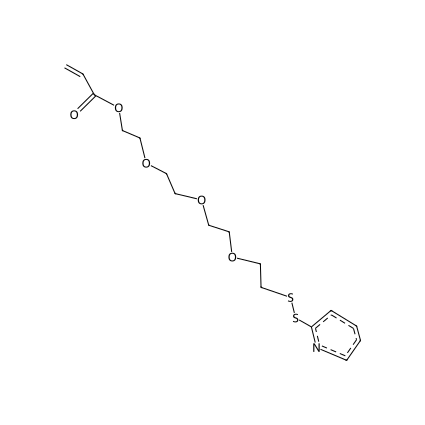 C=CC(=O)OCCOCCOCCOCCSSc1ccccn1